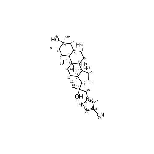 C[C@H]1C[C@H]2[C@H](CC[C@@H]3[C@@H]2CC[C@@]2(C)[C@H]3CC[C@@H]2[C@@](C)(O)Cn2cc(C#N)cn2)C[C@]1(C)O